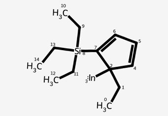 CC[C]1([In])C=CC=C1[Si](CC)(CC)CC